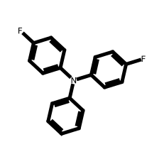 Fc1ccc(N(c2cc[c]cc2)c2ccc(F)cc2)cc1